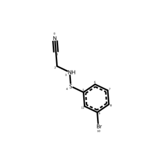 N#CCNSc1cccc(Br)c1